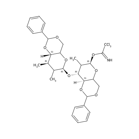 CC1[C@H](O[C@@H]2C(C)[C@@H](OC(=N)C(Cl)(Cl)Cl)OC3COC(c4ccccc4)O[C@H]32)OC2COC(c3ccccc3)O[C@H]2[C@@H]1C